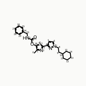 Cc1nc(-c2ccn(CCC3CCCCC3)n2)sc1OC(=O)NCc1ccccc1